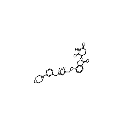 O=C1CCC(N2Cc3c(OCc4cn(Cc5cccc(N6CCOCC6)c5)nn4)cccc3C2=O)C(=O)N1